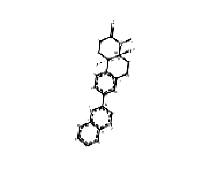 CN1C(=O)CC[C@]2(C)c3ccc(-c4cnc5ccccc5n4)cc3CC[C@@H]12